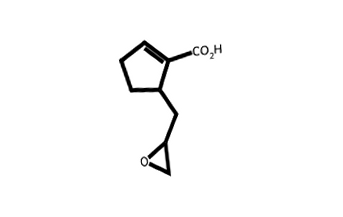 O=C(O)C1=CCCC1CC1CO1